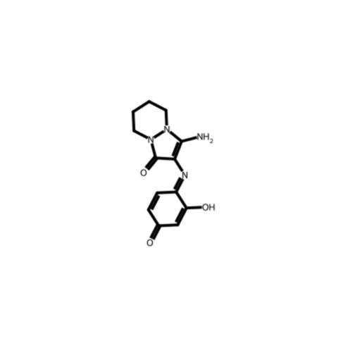 Nc1c(N=C2C=CC(=O)C=C2O)c(=O)n2n1CCCC2